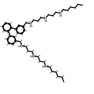 CCCCCCNCCCNCCCNCc1cccc(-c2ccccc2-c2cccc(CNCCCNCCCNCCCCCC)c2)c1